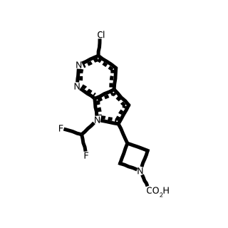 O=C(O)N1CC(c2cc3cc(Cl)nnc3n2C(F)F)C1